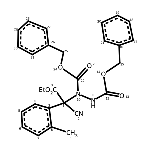 CCOC(=O)C(C#N)(c1ccccc1C)N(NC(=O)OCc1ccccc1)C(=O)OCc1ccccc1